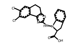 O=C(O)C1Cc2ccccc2N1Nc1nc2c(s1)CCc1cc(Cl)c(Cl)cc1-2